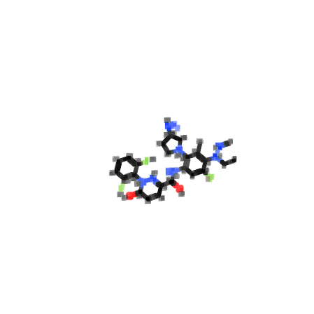 C=NN(CC)c1c(F)cc(NC(=O)c2ccc(=O)n(-c3c(F)cccc3F)n2)c(N2CC[C@@H](N)C2)c1C